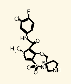 Cn1cc2c(c1C(=O)Nc1ccc(F)c(Cl)c1)OC[C@]1(CCNC1)NS2(=O)=O